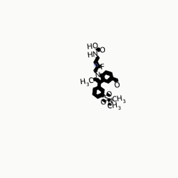 Cc1c(-c2cccc(S(=O)(=O)N(C)C)c2)c2cc(C=O)ccc2n1C/C(F)=C/CNC(=O)O